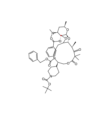 CO[C@]1(C)C[C@@H](C)CN(C(=O)OCc2ccccc2)[C@H](C2CCN(C(=O)OC(C)(C)C)CC2)COC(=O)C(C)(C)C(=O)[C@H](C)[C@H]1O[C@@H]1O[C@H](C)C[C@H](N(C)C)[C@H]1OC(=O)c1ccccc1